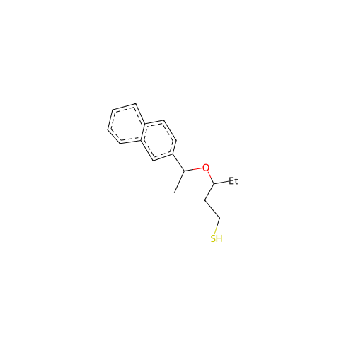 CCC(CCS)OC(C)c1ccc2ccccc2c1